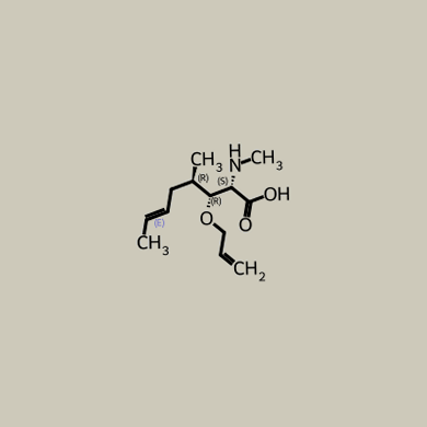 C=CCO[C@H]([C@H](C)C/C=C/C)[C@H](NC)C(=O)O